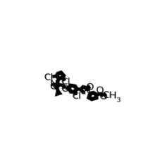 COC(=O)c1cccc(N2CC(c3ccc(OCc4c(-c5c(Cl)cccc5Cl)noc4C4CC4)cc3Cl)CC2=O)c1